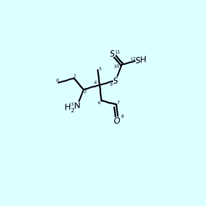 CCC(N)C(C)(CC=O)SC(=S)S